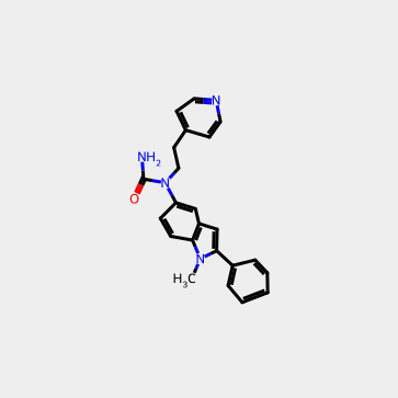 Cn1c(-c2ccccc2)cc2cc(N(CCc3ccncc3)C(N)=O)ccc21